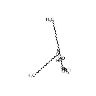 CCCCCCCCCCCCCCCCCCOCC(COC(=O)NCCCON(C)CO)OCCCCCCCCCCCCCCCCCC